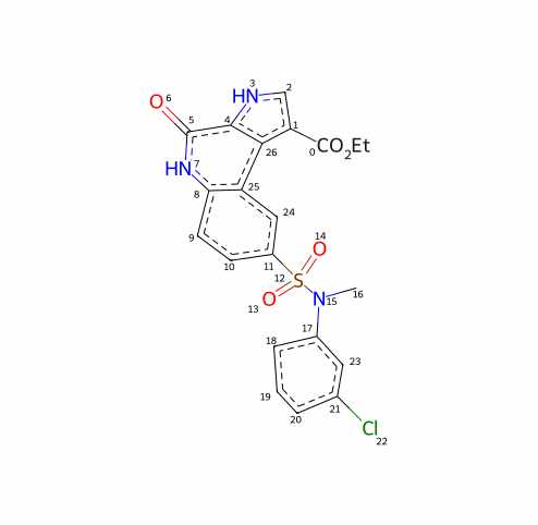 CCOC(=O)c1c[nH]c2c(=O)[nH]c3ccc(S(=O)(=O)N(C)c4cccc(Cl)c4)cc3c12